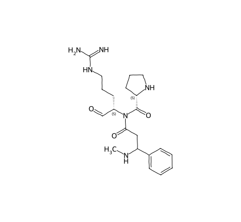 CNC(CC(=O)N(C(=O)[C@@H]1CCCN1)[C@H](C=O)CCCNC(=N)N)c1ccccc1